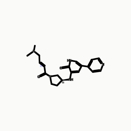 CN(C)C/C=C/C(=O)N1CC[C@H](Nc2cc(-c3ccncc3)c[nH]c2=O)C1